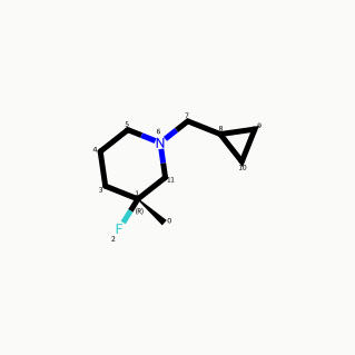 C[C@@]1(F)CCCN(CC2CC2)C1